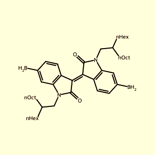 Bc1ccc2c(c1)N(CC(CCCCCC)CCCCCCCC)C(=O)/C2=C1/C(=O)N(CC(CCCCCC)CCCCCCCC)c2cc(B)ccc21